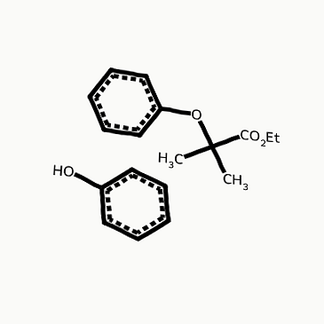 CCOC(=O)C(C)(C)Oc1ccccc1.Oc1ccccc1